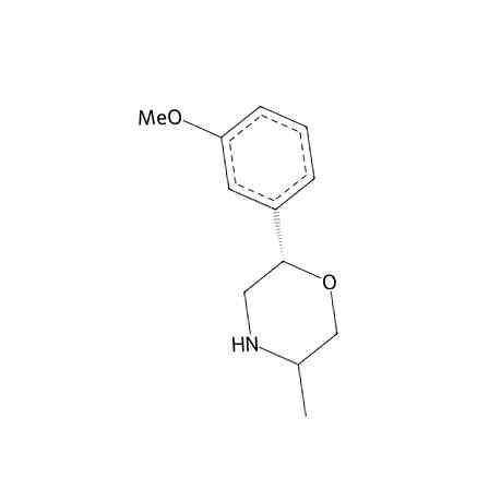 COc1cccc([C@H]2CNC(C)CO2)c1